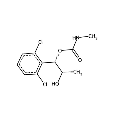 CNC(=O)O[C@@H](c1c(Cl)cccc1Cl)[C@H](C)O